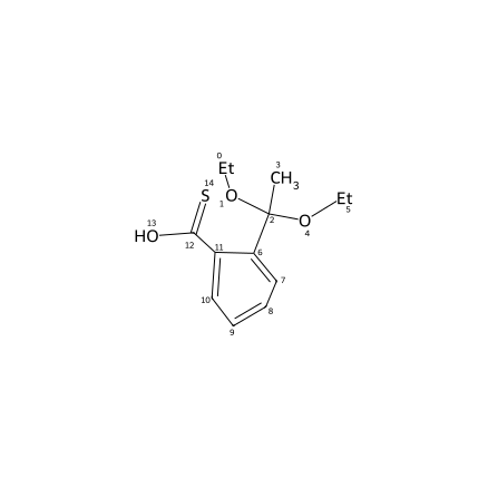 CCOC(C)(OCC)c1ccccc1C(O)=S